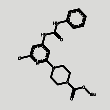 CC(C)(C)OC(=O)N1CCN(c2cc(NC(=O)Nc3ccccc3)cc(Cl)n2)CC1